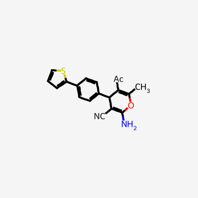 CC(=O)C1=C(C)OC(N)=C(C#N)C1c1ccc(-c2cccs2)cc1